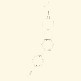 N#Cc1ccc(-c2ccc3c(c2)OC2(CCN(C4CCC4)CC2)C3)cc1